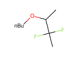 CCCCOC(C)C(C)(F)F